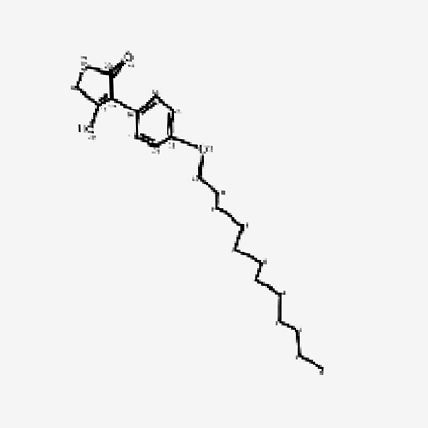 CCCCCCCCCCCCOc1ccc(C2=C(O)CSC2=O)cc1